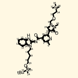 Cc1cc(C(=O)/N=c2\[nH]c3ccccc3n2CCCCCO[Si](C)(C)C(C)(C)C)cc(-c2cn(COCC[Si](C)(C)C)n(C)c2=O)n1